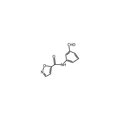 O=Cc1cccc(NC(=O)c2ccno2)c1